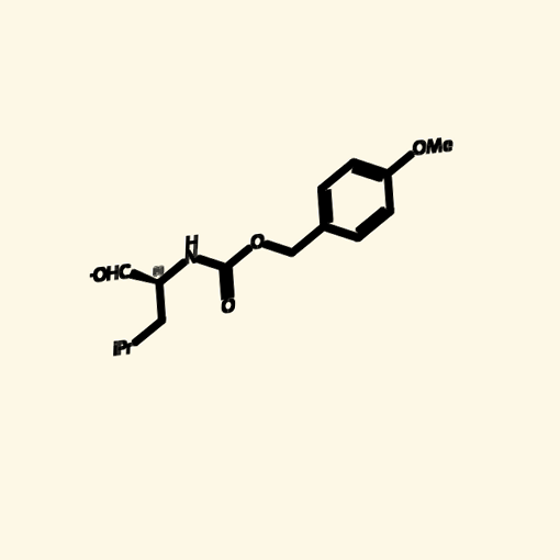 COc1ccc(COC(=O)N[C@H]([C]=O)CC(C)C)cc1